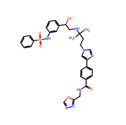 CC(C)(CCn1cnc(-c2ccc(C(=O)NCc3nnco3)cc2)c1)NC[C@H](O)c1cccc(NS(=O)(=O)c2ccccc2)c1